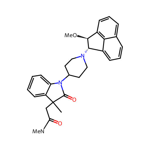 CNC(=O)CC1(C)C(=O)N(C2CCN([C@H]3c4cccc5cccc(c45)[C@@H]3OC)CC2)c2ccccc21